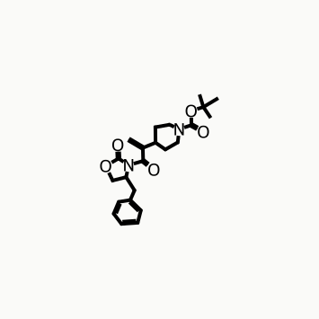 C=C(C(=O)N1C(=O)OCC1Cc1ccccc1)C1CCN(C(=O)OC(C)(C)C)CC1